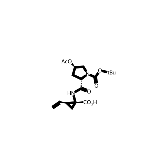 C=C[C@@H]1C[C@]1(NC(=O)[C@@H]1C[C@@H](OC(C)=O)CN1C(=O)OC(C)(C)C)C(=O)O